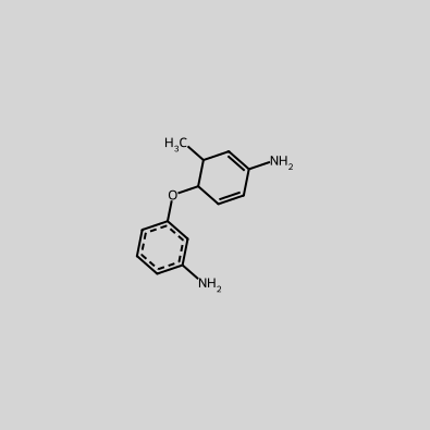 CC1C=C(N)C=CC1Oc1cccc(N)c1